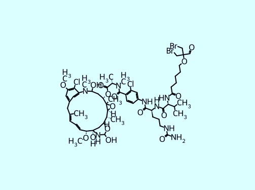 COc1cc2cc(c1Cl)N(C)C(O)C[C@H](OC(=O)[C@H](C)N(C)C(=O)c1ccc(NC(=O)[C@H](CCCNC(N)=O)NC(=O)[C@@H](NC(=O)CCCCCOC(C=O)(CBr)CBr)C(C)C)cc1Cl)[C@]1(C)O[C@H]1[C@H](C)[C@@H]1C[C@@](O)(NC(O)O1)[C@H](OC)/C=C/C=C(\C)C2